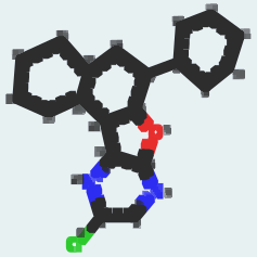 Clc1cnc2oc3c(-c4ccccc4)cc4ccccc4c3c2n1